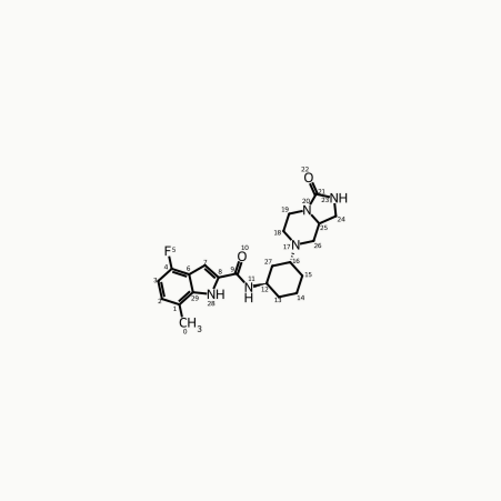 Cc1ccc(F)c2cc(C(=O)N[C@@H]3CCC[C@@H](N4CCN5C(=O)NCC5C4)C3)[nH]c12